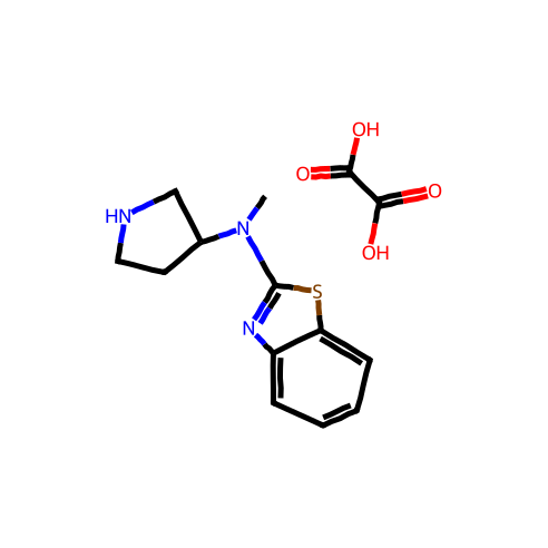 CN(c1nc2ccccc2s1)C1CCNC1.O=C(O)C(=O)O